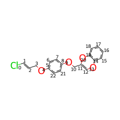 ClC=CCOc1ccc(OCC2=COc3ccccc3O2)cc1